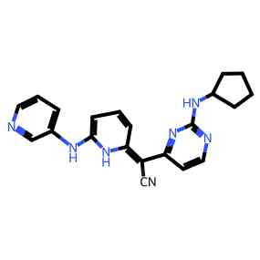 N#CC(=C1C=CC=C(Nc2cccnc2)N1)c1ccnc(NC2CCCC2)n1